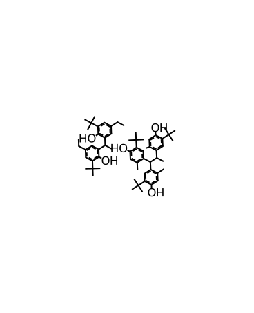 CCc1cc(C(C)c2cc(CC)cc(C(C)(C)C)c2O)c(O)c(C(C)(C)C)c1.Cc1cc(O)c(C(C)(C)C)cc1C(C)C(c1cc(C(C)(C)C)c(O)cc1C)c1cc(C(C)(C)C)c(O)cc1C